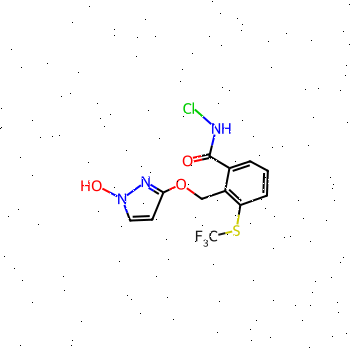 O=C(NCl)c1cccc(SC(F)(F)F)c1COc1ccn(O)n1